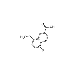 CCc1ccc(F)c2ccc(C(=O)O)cc12